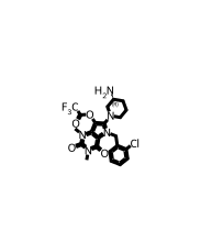 Cn1c(=O)c2c(c(OC(=O)C(F)(F)F)c(N3CCC[C@@H](N)C3)n2Cc2ccccc2Cl)n(C)c1=O